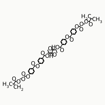 C=C(C)C(=O)OCOC(=O)Oc1ccc(C(=O)Oc2ccc(C(=O)OC3CO[C@@H]4[C@@H](OC(=O)c5ccc(OC(=O)c6ccc(OC(=O)OCOC(=O)C(=C)C)cc6)cc5)CO[C@H]34)cc2)cc1